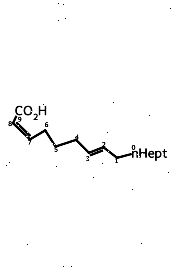 CCCCCCCCC=CCCC/C=C\C(=O)O